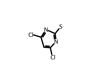 [S]c1nc(Cl)cc(Cl)n1